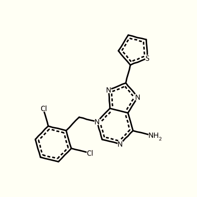 Nc1ncn(Cc2c(Cl)cccc2Cl)c2nc(-c3cccs3)nc1-2